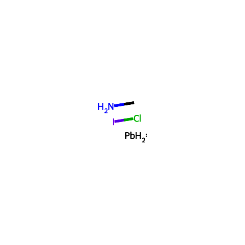 CN.ClI.[PbH2]